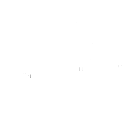 CC(C)CC1(C)Cc2ccccc2C(c2cnc3ccccc3c2)=N1